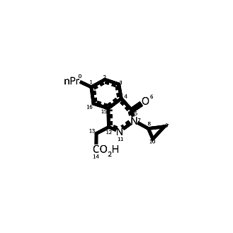 CCCc1ccc2c(=O)n(C3CC3)nc(CC(=O)O)c2c1